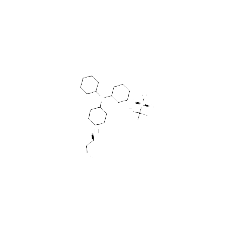 C1CCC(P(C2CCCCC2)C2CCCCC2)CC1.C=C[CH2][Pd+].O=S(=O)([O-])C(F)(F)F